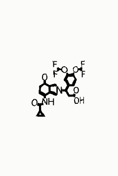 O=C(O)CC(c1ccc(OC(F)F)c(OC(F)F)c1)N1C=C2C(NC(=O)C3CC3)=CCC(=O)C2C1